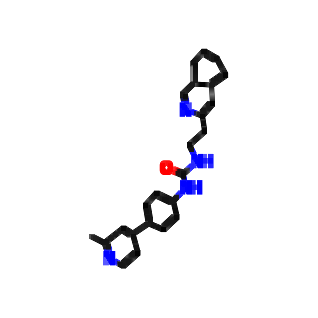 Cc1cc(-c2ccc(NC(=O)NCCc3cc4ccccc4cn3)cc2)ccn1